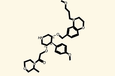 COCCCN1CCOc2ccc(CO[C@H]3CNC[C@@H](OCC(=O)N4CCOCC4C)[C@@H]3c3ccc(OC)cc3)cc21